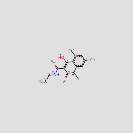 CCc1cc(Cl)cc2c1C(O)=C(C(=O)NCC(=O)O)C(=O)C2C